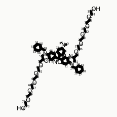 CN(C)c1ccc(C(C#N)(c2ccc(N(Cc3ccccc3)CC(N)COCCOCCOCCOCCOCCO)cc2)c2ccc(N(Cc3ccccc3)CC(O)COCCOCCOCCOCCOCCO)cc2)cc1